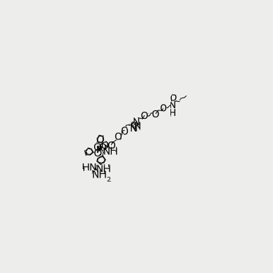 CCCCC(=O)NCCOCCOCCOCCn1cc(COCCOCCOC(=O)NC(c2ccc(NC(=N)N)cc2)P(=O)(Oc2ccccc2)Oc2ccccc2)nn1